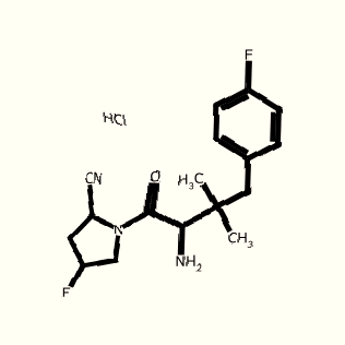 CC(C)(Cc1ccc(F)cc1)C(N)C(=O)N1CC(F)CC1C#N.Cl